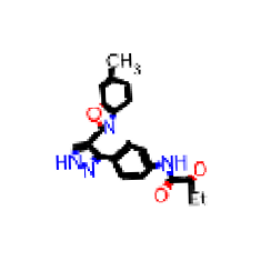 CCC(=O)C(=O)Nc1ccc(-c2n[nH]cc2-c2nc3ccc(C)cc3o2)cc1